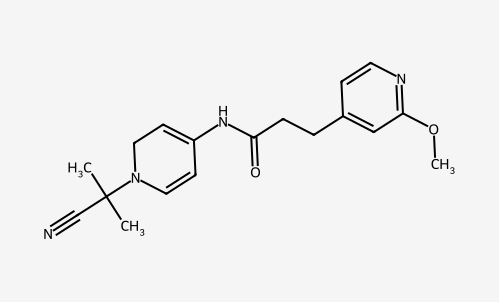 COc1cc(CCC(=O)NC2=CCN(C(C)(C)C#N)C=C2)ccn1